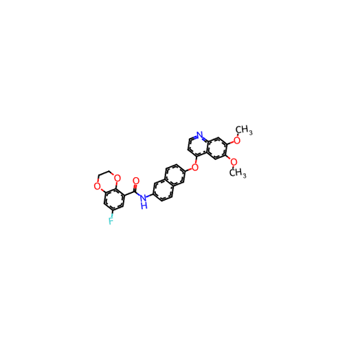 COc1cc2nccc(Oc3ccc4cc(NC(=O)c5cc(F)cc6c5OCCO6)ccc4c3)c2cc1OC